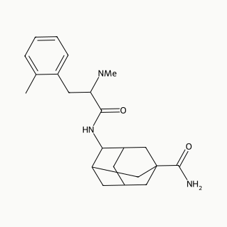 CNC(Cc1ccccc1C)C(=O)NC1C2CC3CC1CC(C(N)=O)(C3)C2